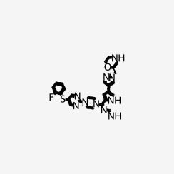 N=C/N=C(\c1cc(-c2cnn(C[C@@H]3CNCCO3)c2)c[nH]1)N1CCN(c2ncc(Sc3ccccc3F)cn2)CC1